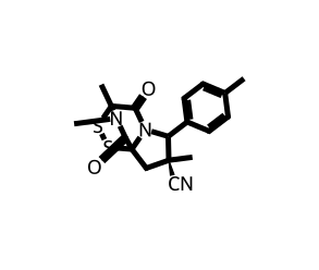 Cc1ccc(C2N3C(=O)C4(C)SSC3(C[C@]2(C)C#N)C(=O)N4C)cc1